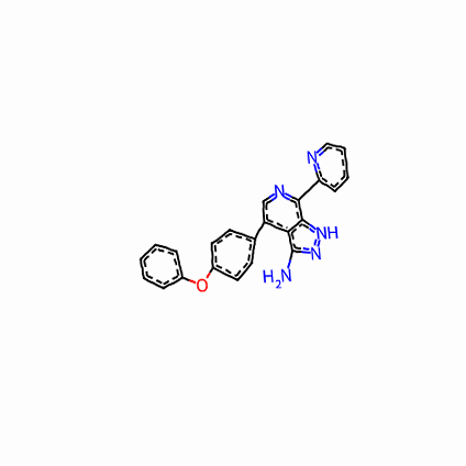 Nc1n[nH]c2c(-c3ccccn3)ncc(-c3ccc(Oc4ccccc4)cc3)c12